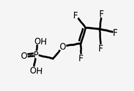 O=P(O)(O)COC(F)=C(F)C(F)(F)F